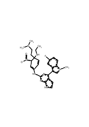 CCNC1(CCN(C)C)C=CC(Nc2nc(-c3cn(C)c4ccc(F)cc34)c3cc[nH]c3n2)=CC1[N+](=O)[O-]